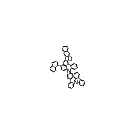 c1ccc(N(c2ccc(-c3ccccc3-n3c4ccccc4c4ccccc43)cc2)c2ccc(-c3cccc4ccccc34)cc2)c(-c2cccc3c2oc2cc4ccccc4cc23)c1